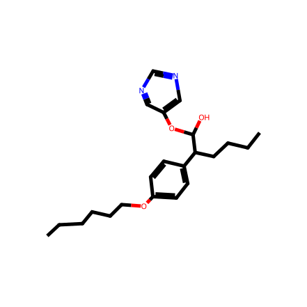 CCCCCCOc1ccc(C(CCCC)C(O)Oc2cncnc2)cc1